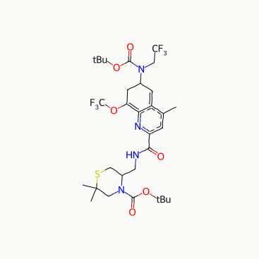 Cc1cc(C(=O)NCC2CSC(C)(C)CN2C(=O)OC(C)(C)C)nc2c1=CC(N(CC(F)(F)F)C(=O)OC(C)(C)C)CC=2OC(F)(F)F